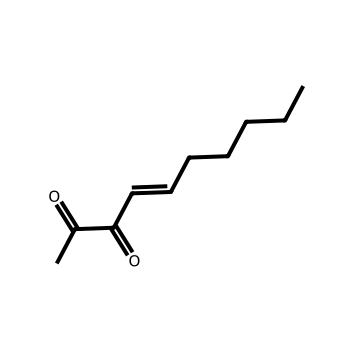 CCCCCC=CC(=O)C(C)=O